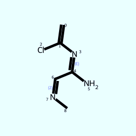 C=C(Cl)/N=C(N)\C=N/C